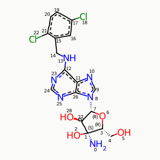 N[C@@]1(O)[C@@H](CO)O[C@@H](n2cnc3c(NCc4cc(Cl)ccc4Cl)ncnc32)[C@@H]1O